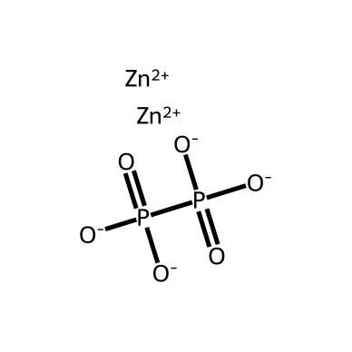 O=P([O-])([O-])P(=O)([O-])[O-].[Zn+2].[Zn+2]